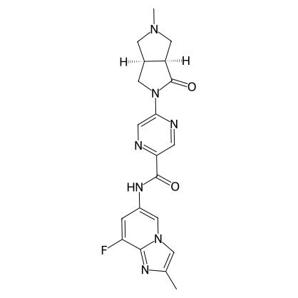 Cc1cn2cc(NC(=O)c3cnc(N4C[C@H]5CN(C)C[C@H]5C4=O)cn3)cc(F)c2n1